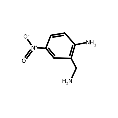 NCc1cc([N+](=O)[O-])ccc1N